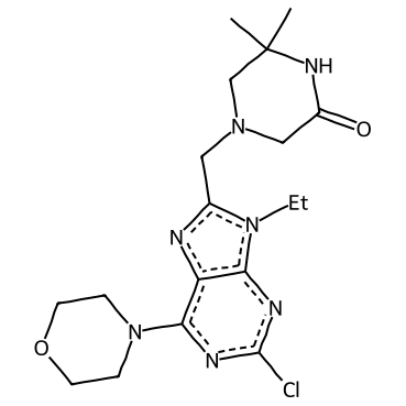 CCn1c(CN2CC(=O)NC(C)(C)C2)nc2c(N3CCOCC3)nc(Cl)nc21